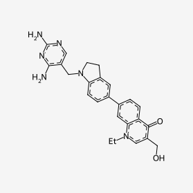 CCn1cc(CO)c(=O)c2ccc(-c3ccc4c(c3)CCN4Cc3cnc(N)nc3N)cc21